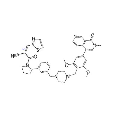 COc1cc(-c2cn(C)c(=O)c3cnccc23)cc(OC)c1CN1CCN(Cc2cccc(C3CCCN3C(=O)/C(C#N)=C\c3nccs3)c2)CC1